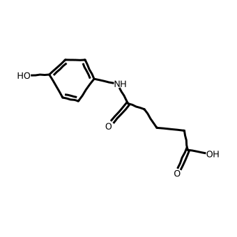 O=C(O)CCCC(=O)Nc1ccc(O)cc1